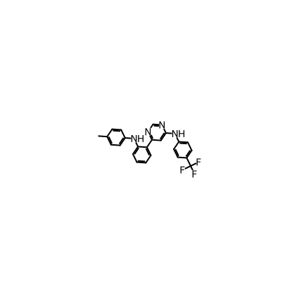 Cc1ccc(Nc2ccccc2-c2cc(Nc3ccc(C(F)(F)F)cc3)ncn2)cc1